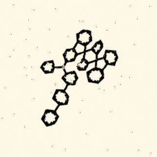 c1ccc(-c2ccc(-c3cccc(N(c4ccccc4)c4ccc5c(c4)C4(c6ccccc6-5)c5ccccc5C5(c6ccccc6-c6ccccc65)c5ccccc54)c3)cc2)cc1